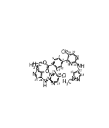 COC(=O)c1ccc(-c2nc(Nc3cnn(C)c3)ncc2Cl)cc1-c1nc(Nc2cnn(C)c2)ncc1Cl